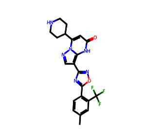 Cc1ccc(-c2nc(-c3cnn4c(C5CCNCC5)cc(=O)[nH]c34)no2)c(C(F)(F)F)c1